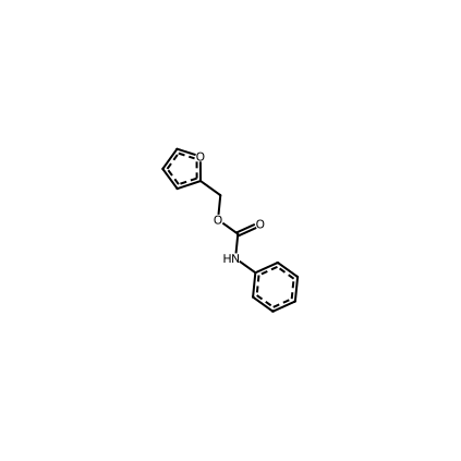 O=C(Nc1ccccc1)OCc1ccco1